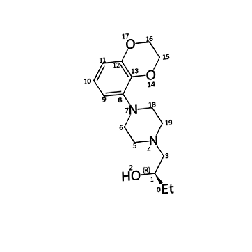 CC[C@@H](O)CN1CCN(c2cccc3c2OCCO3)CC1